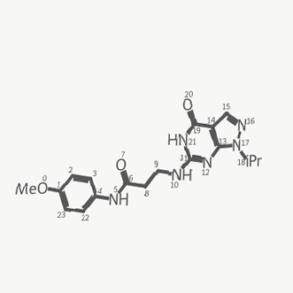 COc1ccc(NC(=O)CCNc2nc3c(cnn3C(C)C)c(=O)[nH]2)cc1